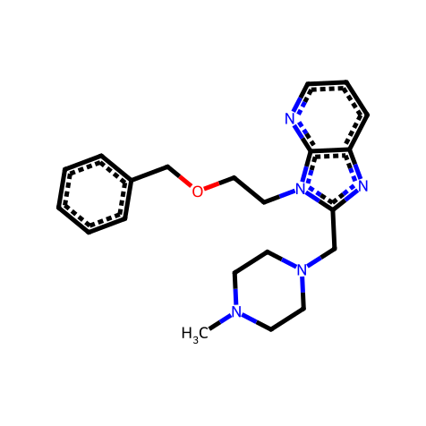 CN1CCN(Cc2nc3cccnc3n2CCOCc2ccccc2)CC1